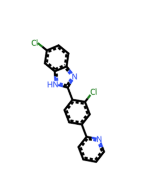 Clc1ccc2nc(-c3ccc(-c4ccccn4)cc3Cl)[nH]c2c1